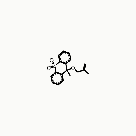 C=C(C)COC1(C)c2ccccc2S(=O)(=O)c2ccccc21